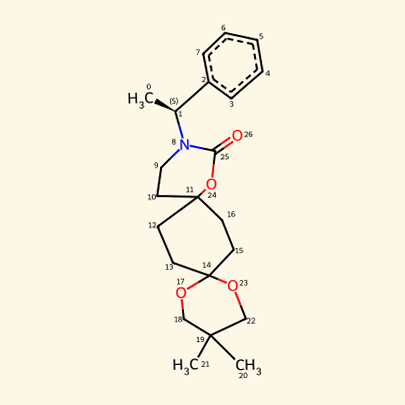 C[C@@H](c1ccccc1)N1CCC2(CCC3(CC2)OCC(C)(C)CO3)OC1=O